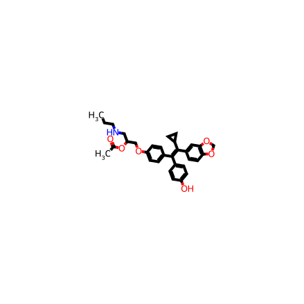 CCCNCC(COc1ccc(/C(=C(/c2ccc3c(c2)OCO3)C2CC2)c2ccc(O)cc2)cc1)OC(C)=O